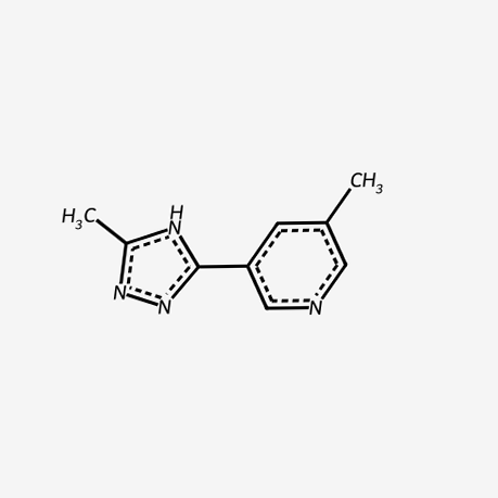 Cc1cncc(-c2nnc(C)[nH]2)c1